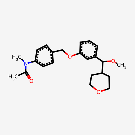 COC(c1cccc(OCc2ccc(N(C)C(C)=O)cc2)c1)C1CCOCC1